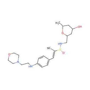 CC1CC(O)CC(CN[S+]([O-])/C(C#N)=C/c2ccc(NCCN3CCOCC3)cc2)O1